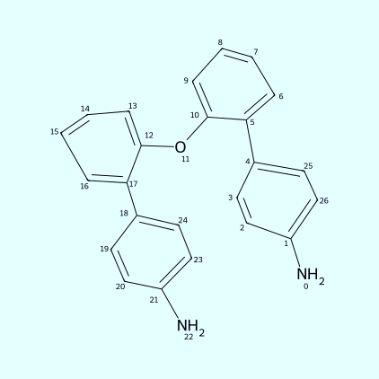 Nc1ccc(-c2ccccc2Oc2ccccc2-c2ccc(N)cc2)cc1